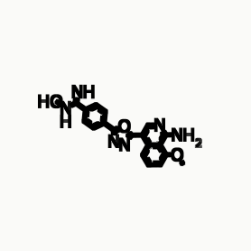 COc1cccc2c(-c3nnc(-c4ccc(C(=N)NO)cc4)o3)cnc(N)c12